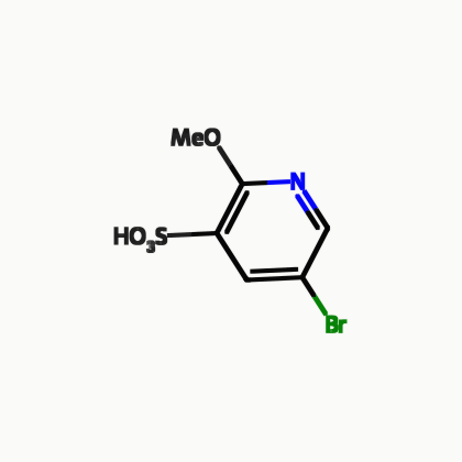 COc1ncc(Br)cc1S(=O)(=O)O